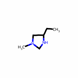 CCC1CN(C)CN1